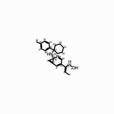 CC=C(NO)C1=CC2=C[C@]2(NC2(c3ccc(C)cc3)CCCCC2)N=C1